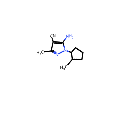 Cc1nn(C2CCCC2C)c(N)c1C#N